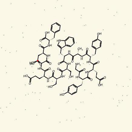 C[C@H](NC(=O)[C@H](Cc1ccc(O)cc1)NC(=O)[C@H](CCC(=O)O)NC(=O)[C@H](Cc1ccc(O)cc1)NC(=O)CN)C(=O)N[C@@H](Cc1c[nH]c2ccccc12)C(=O)N[C@@H](CO)C(=O)N[C@@H](CO)C(=O)N[C@@H](CCC(=O)O)C(=O)N[C@@H](CO)C(=O)N[C@@H](CC(=O)O)C(=O)N[C@@H](Cc1ccccc1)C(=O)O